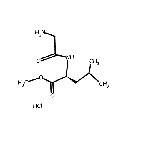 COC(=O)[C@H](CC(C)C)NC(=O)CN.Cl